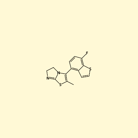 CC1=C(c2ccc(F)c3sccc23)N2CCN=C2S1